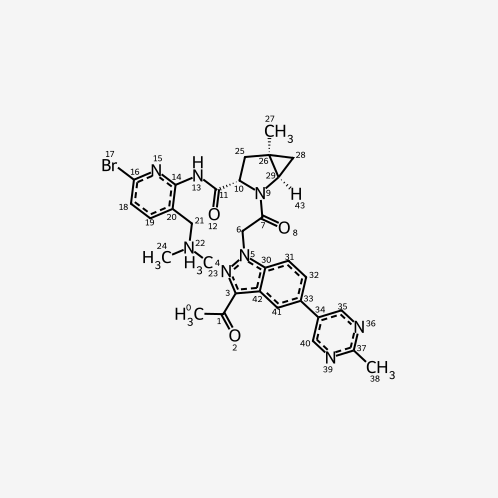 CC(=O)c1nn(CC(=O)N2[C@H](C(=O)Nc3nc(Br)ccc3CN(C)C)C[C@@]3(C)C[C@@H]23)c2ccc(-c3cnc(C)nc3)cc12